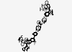 Cn1nc(N2CCC(=O)NC2O)c2ccc(N3CCN(CC(=O)N4CCN(c5ccc(-c6cc(F)c7c(c6)C(=O)N(C(C(=O)Nc6nccs6)c6ncn8c6CCC8)C7)cc5)CC4)CC3)cc21